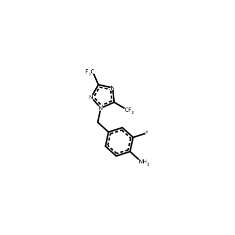 Nc1ccc(Cn2nc(C(F)(F)F)nc2C(F)(F)F)cc1F